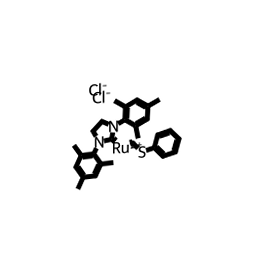 Cc1cc(C)c(N2CCN(c3c(C)cc(C)cc3C)[C]2=[Ru+2]=[CH]Sc2ccccc2)c(C)c1.[Cl-].[Cl-]